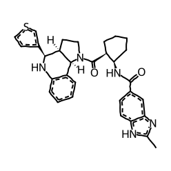 Cc1nc2cc(C(=O)N[C@@H]3CCCC[C@@H]3C(=O)N3CC[C@@H]4[C@H](c5ccsc5)Nc5ccccc5[C@@H]43)ccc2[nH]1